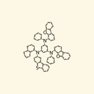 c1ccc(N(c2cc(N(c3ccc4sc5ccccc5c4c3)c3cccc4ccccc34)cc(N(c3ccccc3)c3cccc4c3oc3ccccc34)c2)c2cccc3c2oc2ccccc23)cc1